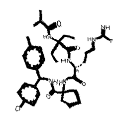 CCC(CC)(NC(=O)C(C)C)C(=O)N[C@H](CCCNC(=N)F)C(=O)NC1(C(=O)NC(c2ccc(C)cc2)c2ccc(Cl)cc2)CCCC1